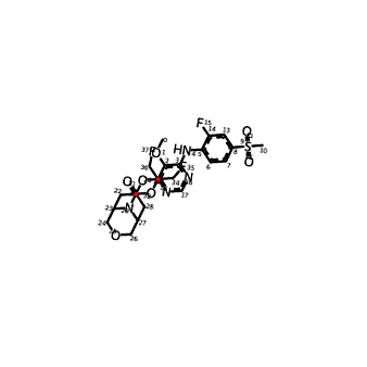 COc1c(Nc2ccc(S(C)(=O)=O)cc2F)ncnc1OC1CC2COCC(C1)N2C(=O)OC(CF)CF